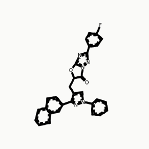 O=C1C(Cc2cn(-c3ccccc3)nc2-c2ccc3ccccc3c2)Oc2nc(-c3ccc(F)cc3)nn21